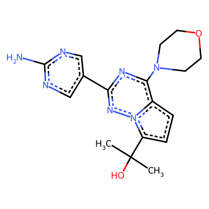 CC(C)(O)c1ccc2c(N3CCOCC3)nc(-c3cnc(N)nc3)nn12